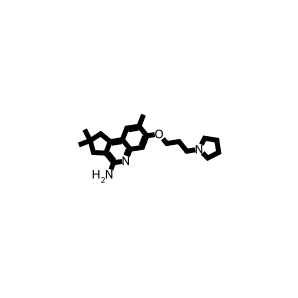 Cc1cc2c3c(c(N)nc2cc1OCCCN1CCCC1)CC(C)(C)C3